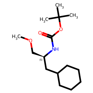 COC[C@H](CC1CCCCC1)NC(=O)OC(C)(C)C